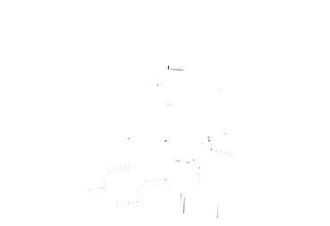 CCOC(=CC(=O)OC)CC(OC=O)(OCC)c1c(-c2ccc(F)cc2)c2ccccc2n1C(C)C